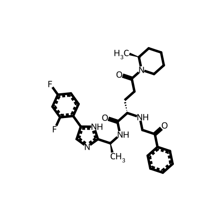 C[C@H](NC(=O)[C@H](CCC(=O)N1CCCC[C@@H]1C)NCC(=O)c1ccccc1)c1ncc(-c2ccc(F)cc2F)[nH]1